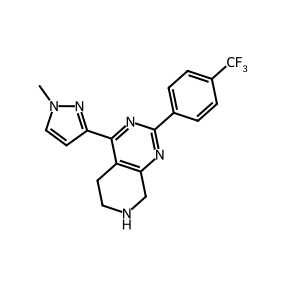 Cn1ccc(-c2nc(-c3ccc(C(F)(F)F)cc3)nc3c2CCNC3)n1